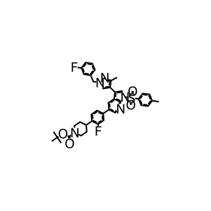 Cc1ccc(S(=O)(=O)n2cc(-c3cn(Cc4cccc(F)c4)nc3C)c3cc(-c4ccc(C5CCN(C(=O)OC(C)(C)C)CC5)c(F)c4)cnc32)cc1